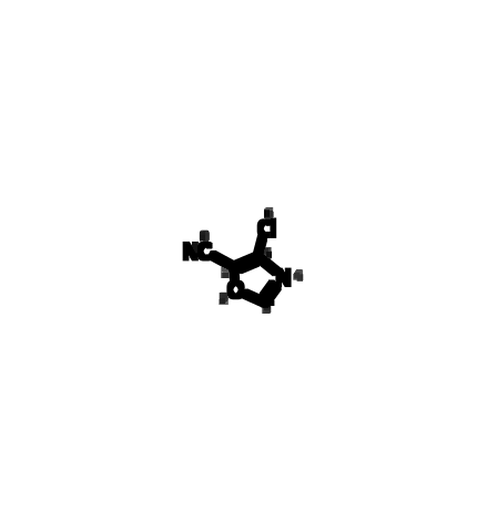 N#Cc1o[c]nc1Cl